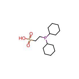 O=S(=O)(O)CCP(C1CCCCC1)C1CCCCC1